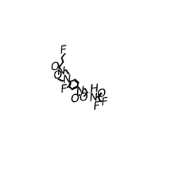 O=C(NC[C@H]1CN(c2ccc(N3CCON(C(=O)CCCF)CC3)c(F)c2)C(=O)O1)C(F)F